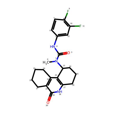 CN(C(=O)Nc1ccc(F)c(F)c1)C1CCCc2[nH]c(=O)c3c(c21)CCCC3